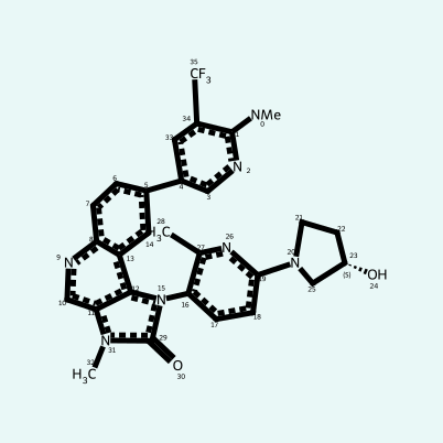 CNc1ncc(-c2ccc3ncc4c(c3c2)n(-c2ccc(N3CC[C@H](O)C3)nc2C)c(=O)n4C)cc1C(F)(F)F